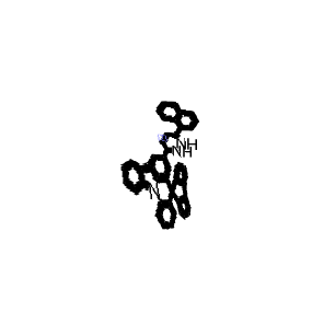 N=C(/C=C\C(=N)c1cccc2ccccc12)c1cc2c3c(c1)c1ccccc1n3-c1ccccc1C21c2ccccc2-c2ccccc21